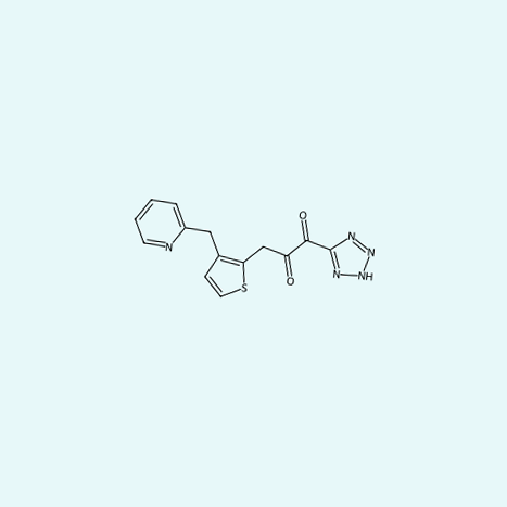 O=C(Cc1sccc1Cc1ccccn1)C(=O)c1nn[nH]n1